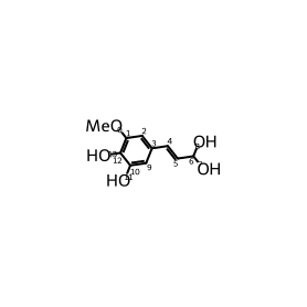 COc1cc(C=CC(O)O)cc(O)c1O